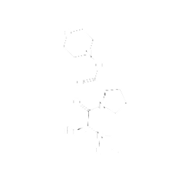 CC(C)[C@H](NC=O)C(=O)N1CCC[C@H]1C(=O)ON1CCOCC1